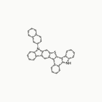 c1ccc2cc(-n3c4ccccc4c4cc5c(cc43)sc3c5c4ccccc4c4[nH]c5ccccc5c43)ccc2c1